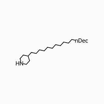 [CH2]CCCCCCCCCCCCCCCCCCCCC1CCNCC1